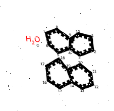 O.c1ccc2ccccc2c1.c1ccc2ccccc2c1